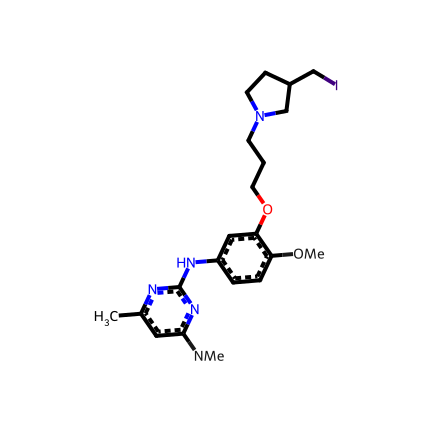 CNc1cc(C)nc(Nc2ccc(OC)c(OCCCN3CCC(CI)C3)c2)n1